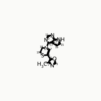 Cc1ncoc1C1=CN(c2ncnc3[nH]ccc23)CCS1